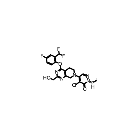 O=c1c(Cl)c(N2CCc3c(nc(CO)nc3Oc3ccc(F)cc3C(F)F)C2)cnn1PI